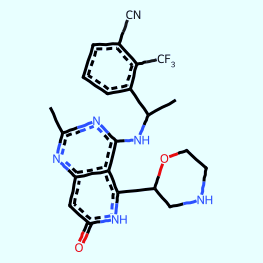 Cc1nc(NC(C)c2cccc(C#N)c2C(F)(F)F)c2c(C3CNCCO3)[nH]c(=O)cc2n1